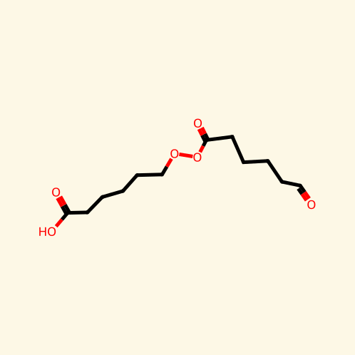 O=CCCCCC(=O)OOCCCCCC(=O)O